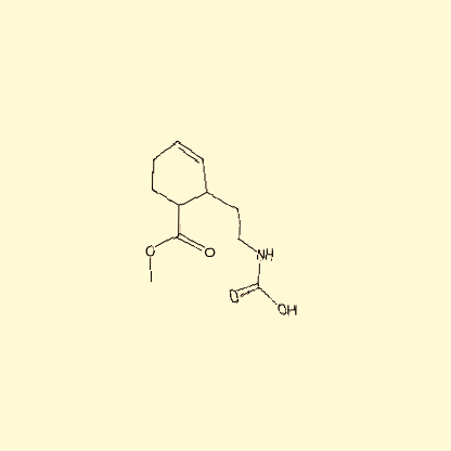 COC(=O)C1CCC=CC1CCNC(=O)O